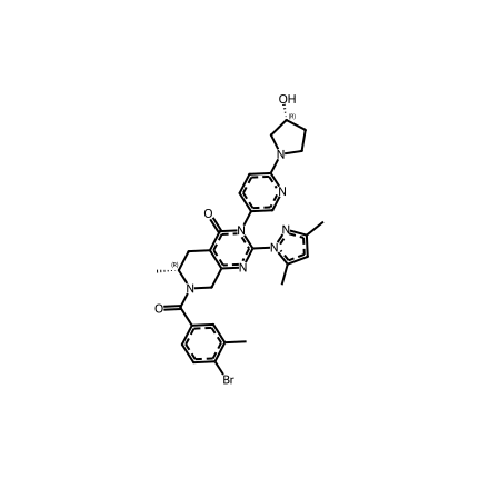 Cc1cc(C)n(-c2nc3c(c(=O)n2-c2ccc(N4CC[C@@H](O)C4)nc2)C[C@@H](C)N(C(=O)c2ccc(Br)c(C)c2)C3)n1